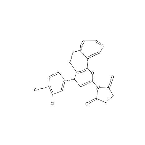 O=C1CCC(=O)N1C1=CC(c2ccc(Cl)c(Cl)c2)C2=C(O1)c1ccccc1CC2